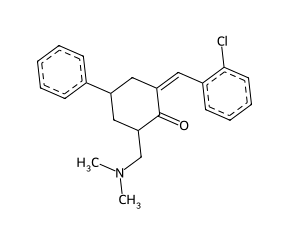 CN(C)CC1CC(c2ccccc2)CC(=Cc2ccccc2Cl)C1=O